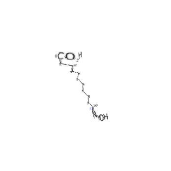 O=C(O)CCCCCCCCC/C=N/O